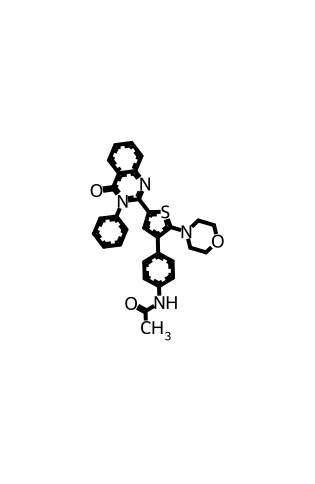 CC(=O)Nc1ccc(-c2cc(-c3nc4ccccc4c(=O)n3-c3ccccc3)sc2N2CCOCC2)cc1